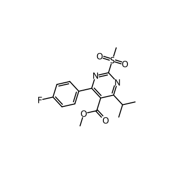 COC(=O)c1c(-c2ccc(F)cc2)nc(S(C)(=O)=O)nc1C(C)C